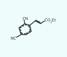 CCOC(=O)C=Cc1ccc(C#N)cc1C#N